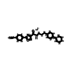 N#Cc1ccc(-c2nc(C(=O)NCCCc3ccc(-[n+]4ccccc4)cc3)no2)cc1.[I-]